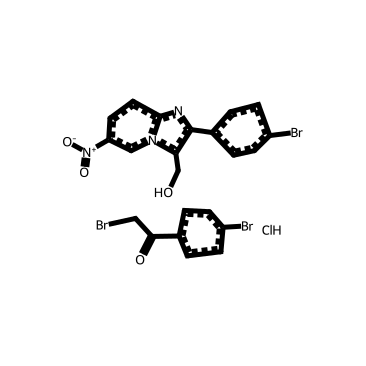 Cl.O=C(CBr)c1ccc(Br)cc1.O=[N+]([O-])c1ccc2nc(-c3ccc(Br)cc3)c(CO)n2c1